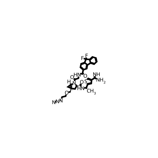 CC(NC(=O)[C@@H]1C[C@]2(COCCN=[N+]=[N-])C[C@@H]2N1C(=O)CNC(=O)c1ccc2c(c1)-c1ccccc1C2(F)F)c1cc(C(=N)N)cs1